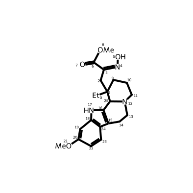 CCC1(CC(=NO)C(=O)OC)CCCN2CCc3c([nH]c4cc(OC)ccc34)C21